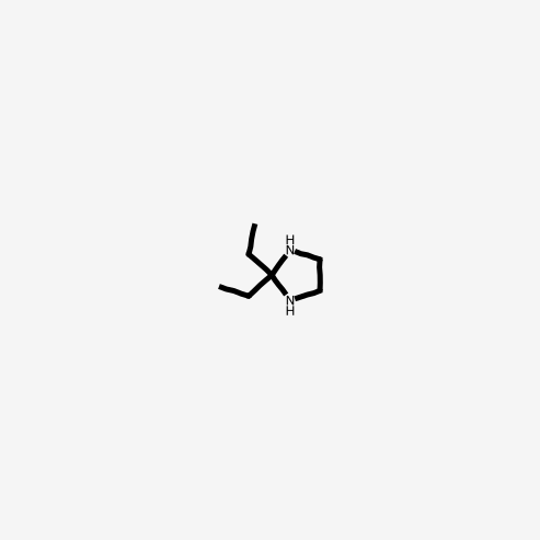 CCC1(CC)NCCN1